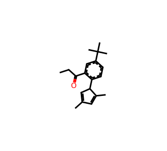 CCC(=O)c1cc(C(C)(C)C)ccc1C1C=C(C)C=C1C